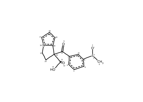 C[S+]([O-])c1cccc(C(=O)C2(C(=O)O)CCn3cccc32)c1